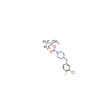 CC(C)(C)OC(=O)N1CCC(Cc2ccc(F)c(Cl)c2)CC1